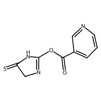 O=C(OC1=NCC(=S)N1)c1cccnc1